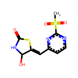 CS(=O)(=O)c1nccc(/C=C2\SC(=O)NC2O)n1